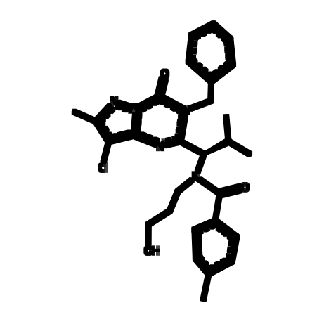 Cc1ccc(C(=O)N(CCCO)[C@@H](c2nc3c(Cl)c(C)nn3c(=O)n2Cc2ccccc2)C(C)C)cc1